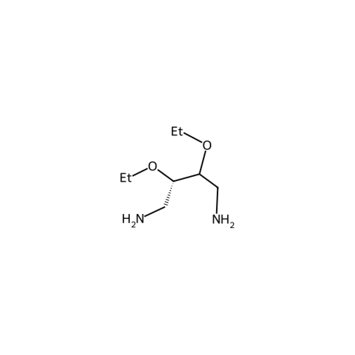 CCOC(CN)[C@H](CN)OCC